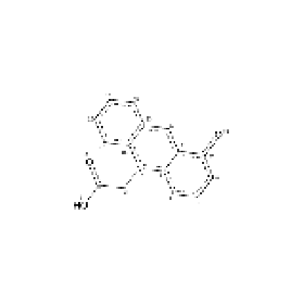 O=C(O)Cn1c2cccc(=O)c-2cc2ccccc21